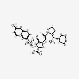 C[C@@H](C(=O)N1CCCC1CN1CCOCC1)N1CC[C@H](NS(=O)(=O)c2ccc3cc(Cl)ccc3c2)C1=O.O=CO